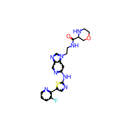 O=C(NCCn1cnc2cnc(Nc3ncc(-c4ncccc4F)s3)cc21)C1COCCN1